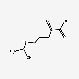 NC(O)NCCCC(=O)C(=O)O